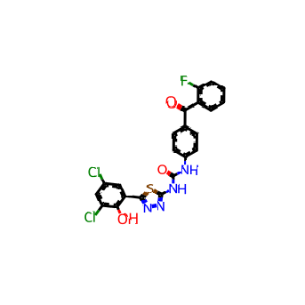 O=C(Nc1ccc(C(=O)c2ccccc2F)cc1)Nc1nnc(-c2cc(Cl)cc(Cl)c2O)s1